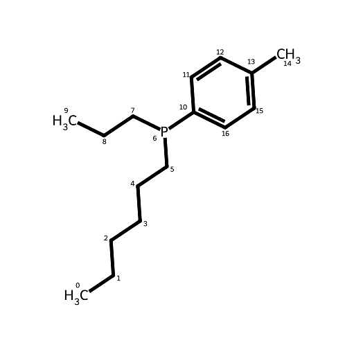 CCCCCCP(CCC)c1ccc(C)cc1